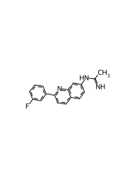 CC(=N)Nc1ccc2ccc(-c3cccc(F)c3)nc2c1